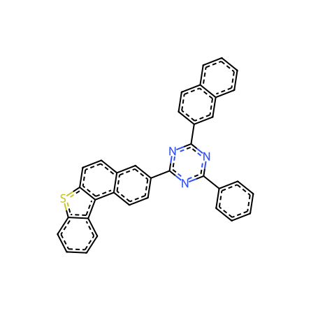 c1ccc(-c2nc(-c3ccc4ccccc4c3)nc(-c3ccc4c(ccc5sc6ccccc6c54)c3)n2)cc1